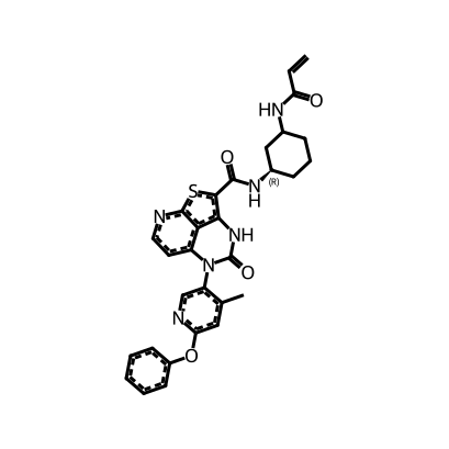 C=CC(=O)NC1CCC[C@@H](NC(=O)c2sc3nccc4c3c2NC(=O)N4c2cnc(Oc3ccccc3)cc2C)C1